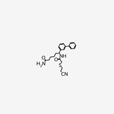 N#CCCSCC(=O)NC(CCCCC(N)=O)c1cccc(-c2ccccc2)c1